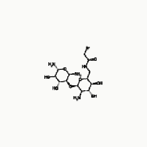 NC1[C@@H](O[C@@H]2C(N)O[C@@H](N)C(O)[C@H]2O)OC(CNC(=O)CBr)[C@@H](O)[C@@H]1O